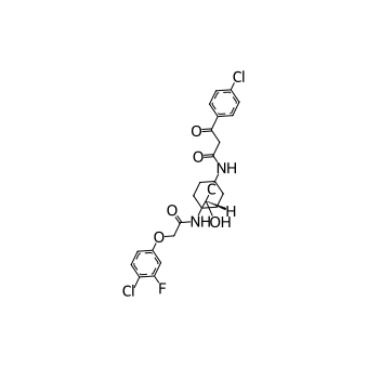 O=C(CC(=O)c1ccc(Cl)cc1)NC12CCC(NC(=O)COc3ccc(Cl)c(F)c3)(CC1)[C@@H](O)C2